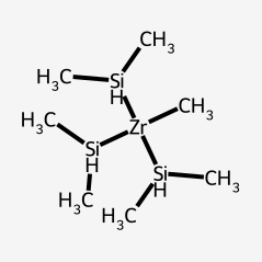 C[SiH](C)[Zr]([CH3])([SiH](C)C)[SiH](C)C